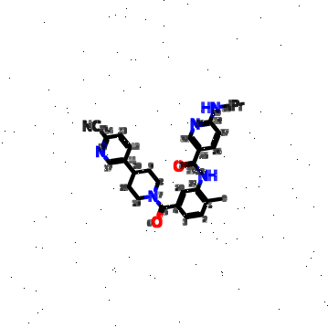 Cc1ccc(C(=O)N2CCC(c3ccc(C#N)nc3)CC2)cc1NC(=O)c1ccc(NC(C)C)nc1